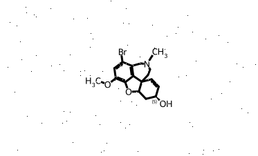 COc1cc(Br)c2c3c1OC1C[C@H](O)C=CC31CCN(C)C2